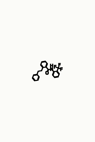 O=C(Nc1ccccc1C(F)(F)F)c1ccccc1CCc1ccccc1